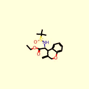 C=C1COc2ccccc2C1[C@H](N[S@+]([O-])C(C)(C)C)C(=O)OCC